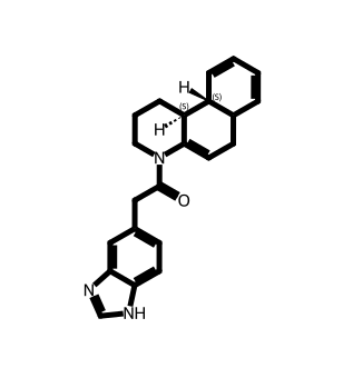 O=C(Cc1ccc2[nH]cnc2c1)N1CCC[C@@H]2C1=CCC1C=CC=C[C@H]12